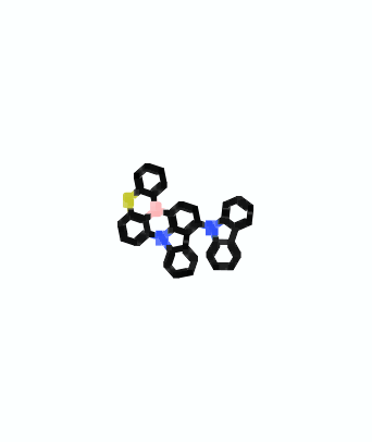 c1ccc2c(c1)Sc1cccc3c1B2c1ccc(-n2c4ccccc4c4ccccc42)c2c4ccccc4n-3c12